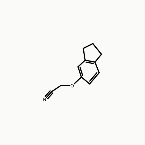 N#CCOc1ccc2c(c1)CCC2